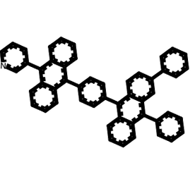 c1ccc(-c2ccc3c(-c4ccc(-c5c6ccccc6c(-c6cccnc6)c6ccccc56)cc4)c4ccccc4c(-c4ccccc4)c3c2)cc1